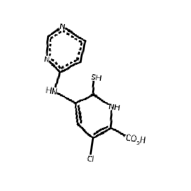 O=C(O)C1=C(Cl)C=C(Nc2ccncn2)C(S)N1